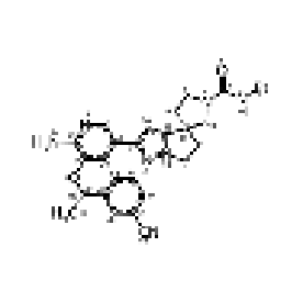 CCNC(=O)N1CC[C@@]2(CCn3nc(-c4cnc(N)c(O[C@@H](C)c5cccc(C#N)c5)c4)cc32)C1